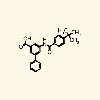 CC(C)(C)c1ccc(C(=O)Nc2cc(C(=O)O)cc(-c3ccccc3)c2)cc1